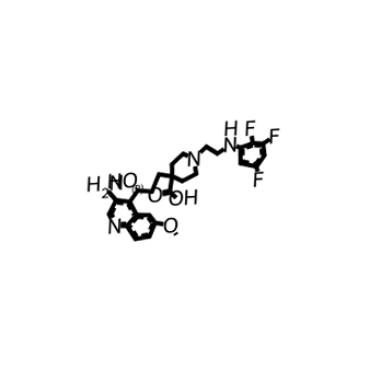 COc1ccc2ncc(CN)c([C@H](O)CCC3(C(=O)O)CCN(CCNc4cc(F)cc(F)c4F)CC3)c2c1